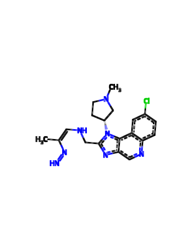 C/C(=C/NCc1nc2cnc3ccc(Cl)cc3c2n1[C@@H]1CCN(C)C1)N=N